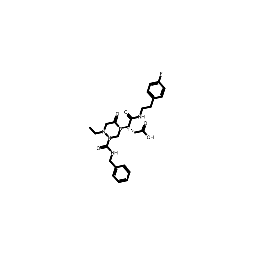 CCN1CC(=O)N([C@@H](CC(=O)O)C(=O)NCCc2ccc(F)cc2)CN1C(=O)NCc1ccccc1